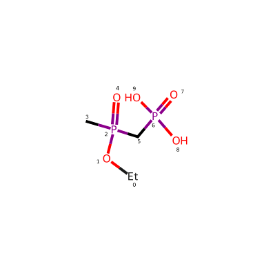 CCOP(C)(=O)CP(=O)(O)O